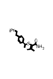 C=C(SC(C(N)=O)=C(C)C)c1ccc(CCC(C)C)cc1